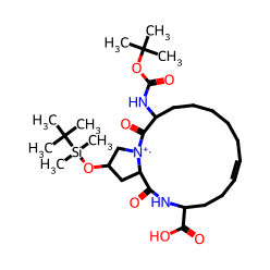 CC(C)(C)OC(=O)NC1CCCCCC=CCCC(C(=O)O)NC(=O)C2CC(O[Si](C)(C)C(C)(C)C)C[N+]2C1=O